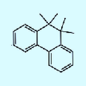 CC1(C)c2cc[c]cc2-c2ccccc2C1(C)C